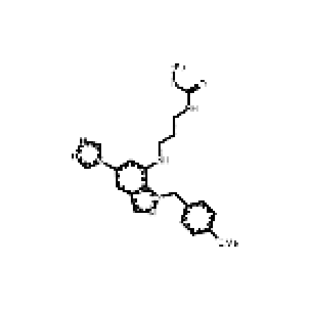 COc1ccc(Cn2ncc3cc(-n4cnnc4)cc(NCCCNC(=O)OC(C)(C)C)c32)cc1